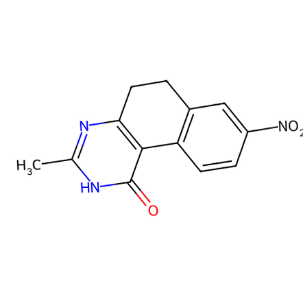 Cc1nc2c(c(=O)[nH]1)-c1ccc([N+](=O)[O-])cc1CC2